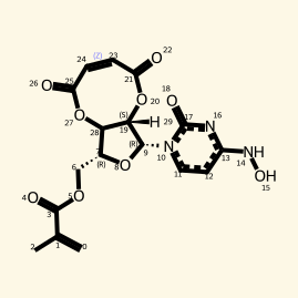 C=C(C)C(=O)OC[C@H]1O[C@@H](n2ccc(NO)nc2=O)[C@H]2OC(=O)/C=C\C(=O)OC12